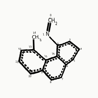 C=Nc1cccc2ccc3cccc(C)c3c12